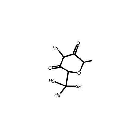 CC1OC(C(S)(S)S)C(=O)C(S)C1=O